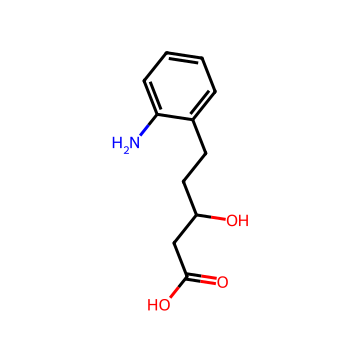 Nc1ccccc1CCC(O)CC(=O)O